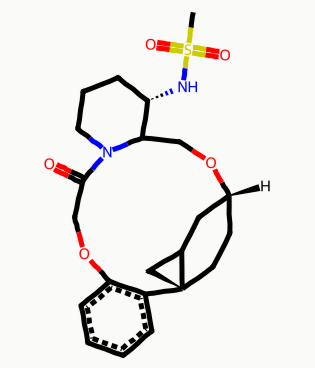 CS(=O)(=O)N[C@H]1CCCN2C(=O)COc3ccccc3[C@@]34CC[C@H](CC3C4)OCC12